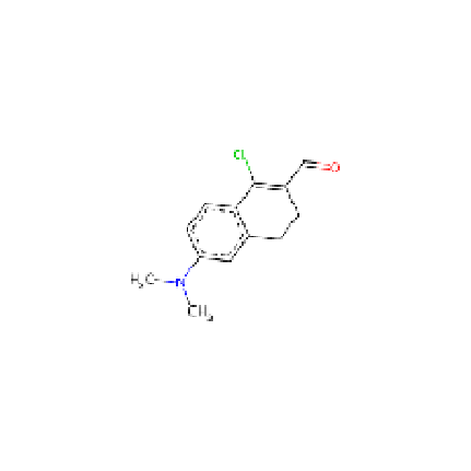 CN(C)c1ccc2c(c1)CCC(C=O)=C2Cl